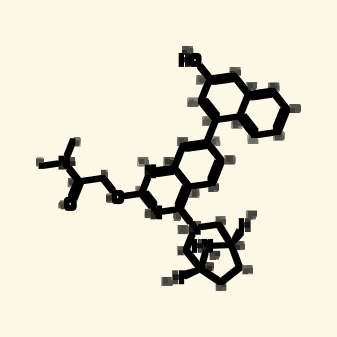 CN(C)C(=O)COc1nc(N2C[C@H]3CC[C@@H](C2)N3)c2ccc(-c3cc(O)cc4ccccc34)cc2n1